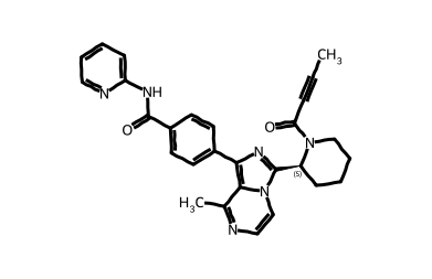 CC#CC(=O)N1CCCC[C@H]1c1nc(-c2ccc(C(=O)Nc3ccccn3)cc2)c2c(C)nccn12